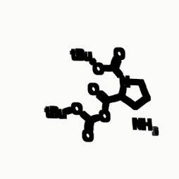 CC(C)(C)OC(=O)OC(=O)C1CCCN1C(=O)OC(C)(C)C.N